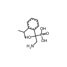 CC(C)c1ccccc1C(O)(CN)P(=O)(O)O